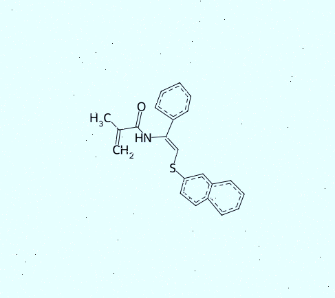 C=C(C)C(=O)NC(=CSc1ccc2ccccc2c1)c1ccccc1